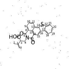 C=C(C)C(CN1C(=O)c2cccc3c2c(cc2c4ccccc4sc32)C1=O)OO